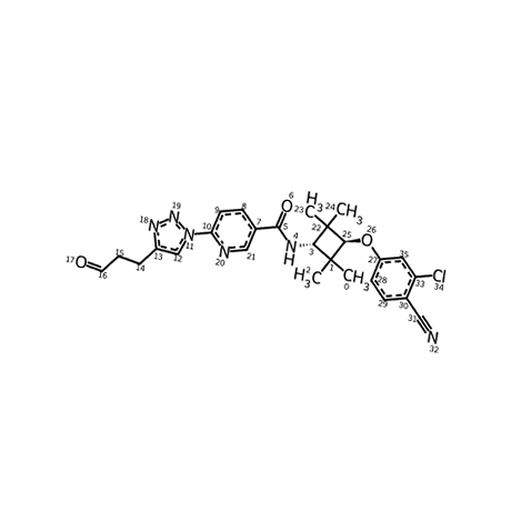 CC1(C)[C@H](NC(=O)c2ccc(-n3cc(CCC=O)nn3)nc2)C(C)(C)[C@H]1Oc1ccc(C#N)c(Cl)c1